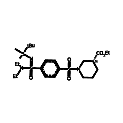 CCOC(=O)[C@@H]1CCCN(S(=O)(=O)c2ccc(S(=O)(=NS(C)(C)C(C)(C)C)N(CC)CC)cc2)C1